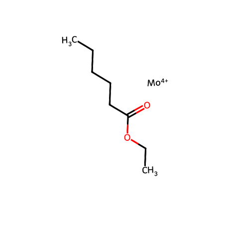 CCCCCC(=O)OCC.[Mo+4]